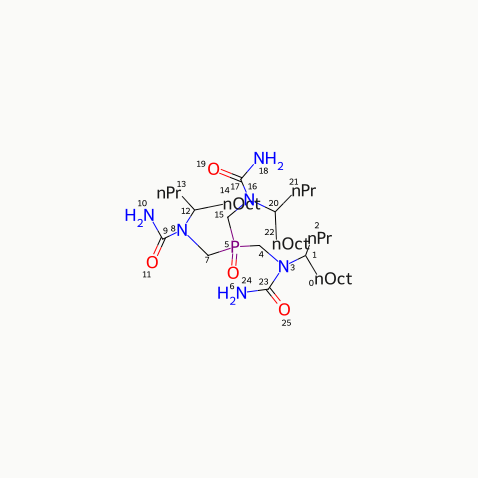 CCCCCCCCC(CCC)N(CP(=O)(CN(C(N)=O)C(CCC)CCCCCCCC)CN(C(N)=O)C(CCC)CCCCCCCC)C(N)=O